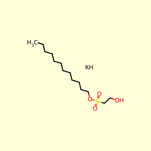 CCCCCCCCCCCCOS(=O)(=O)CCO.[KH]